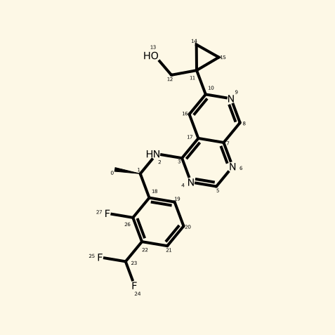 C[C@@H](Nc1ncnc2cnc(C3(CO)CC3)cc12)c1cccc(C(F)F)c1F